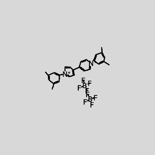 Cc1cc(C)cc(-[n+]2ccc(-c3cc[n+](-c4cc(C)cc(C)c4)cc3)cc2)c1.F[B-](F)(F)F.F[B-](F)(F)F